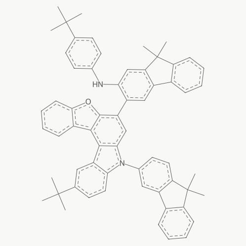 CC(C)(C)c1ccc(Nc2cc3c(cc2-c2cc4c(c5cc(C(C)(C)C)ccc5n4-c4ccc5c(c4)-c4ccccc4C5(C)C)c4c2oc2ccccc24)-c2ccccc2C3(C)C)cc1